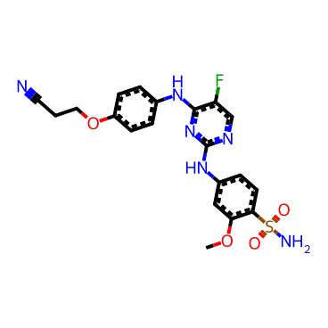 COc1cc(Nc2ncc(F)c(Nc3ccc(OCCC#N)cc3)n2)ccc1S(N)(=O)=O